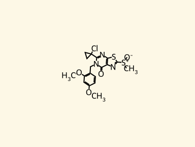 COc1ccc(Cn2c(C3(Cl)CC3)nc3sc([S+](C)[O-])nc3c2=O)c(OC)c1